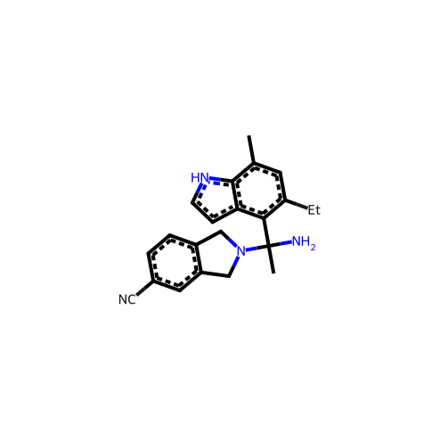 CCc1cc(C)c2[nH]ccc2c1C(C)(N)N1Cc2ccc(C#N)cc2C1